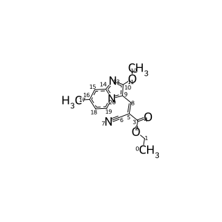 CCOC(=O)C(C#N)=Cc1c(OC)nc2cc(C)ccn12